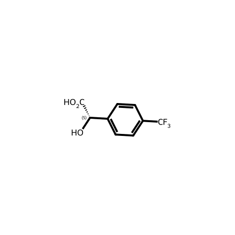 O=C(O)[C@@H](O)c1ccc(C(F)(F)F)cc1